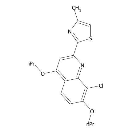 CCCOc1ccc2c(OC(C)C)cc(-c3nc(C)cs3)nc2c1Cl